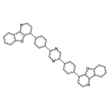 c1ccc2c(c1)oc1c(-c3ccc(-c4cnc(-c5ccc(-c6ccnc7c6oc6ccccc67)cc5)cn4)cc3)ccnc12